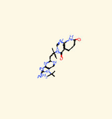 CC(C)(C)n1c(N)nc2nc(CC(C)(C)n3cnc4c(c3=O)CCC(=O)N4)ncc21